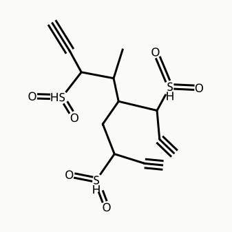 C#CC(CC(C(C)C(C#C)[SH](=O)=O)C(C#C)[SH](=O)=O)[SH](=O)=O